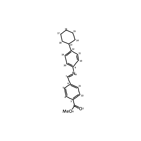 COC(=O)c1ccc(C=Nc2ccc(C3CCCCC3)cc2)cc1